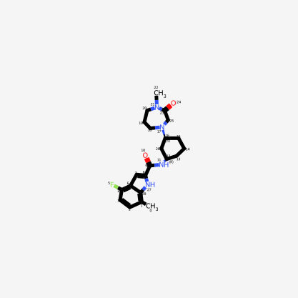 Cc1ccc(F)c2cc(C(=O)N[C@@H]3CCC[C@H](N4CCCN(C)C(=O)C4)C3)[nH]c12